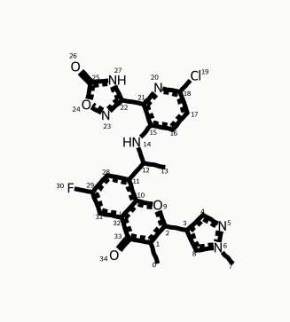 Cc1c(-c2cnn(C)c2)oc2c(C(C)Nc3ccc(Cl)nc3-c3noc(=O)[nH]3)cc(F)cc2c1=O